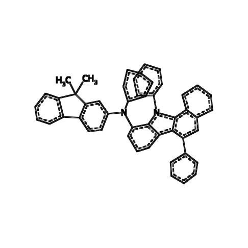 CC1(C)c2ccccc2-c2ccc(N(c3ccccc3)c3cccc4c5c(-c6ccccc6)cc6ccccc6c5n(-c5ccccc5)c34)cc21